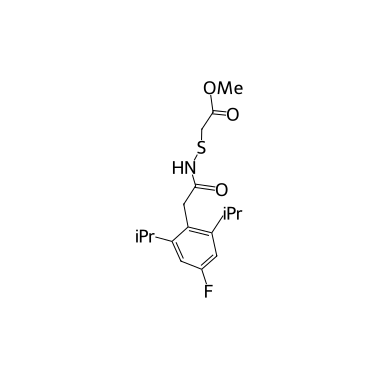 COC(=O)CSNC(=O)Cc1c(C(C)C)cc(F)cc1C(C)C